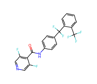 O=C(Nc1ccc(C(F)(F)c2ccccc2C(F)(F)F)cc1)c1c(F)cncc1F